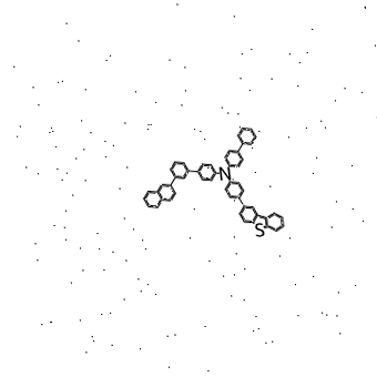 c1ccc(-c2ccc(N(c3ccc(-c4cccc(-c5ccc6ccccc6c5)c4)cc3)c3ccc(-c4ccc5sc6ccccc6c5c4)cc3)cc2)cc1